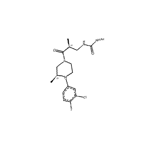 CC(=O)NC(=O)NC[C@H](C)C(=O)N1CCN(c2ccc(F)c(Cl)c2)[C@@H](C)C1